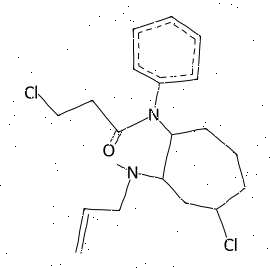 C=CCN(C)C1CC(Cl)CCCC1N(C(=O)CCCl)c1ccccc1